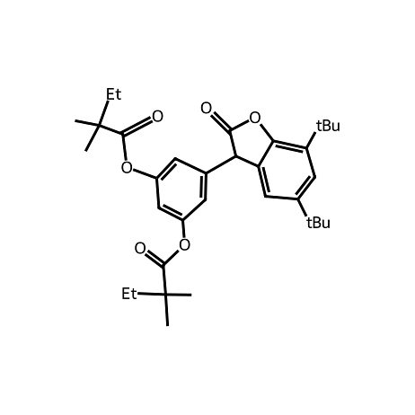 CCC(C)(C)C(=O)Oc1cc(OC(=O)C(C)(C)CC)cc(C2C(=O)Oc3c2cc(C(C)(C)C)cc3C(C)(C)C)c1